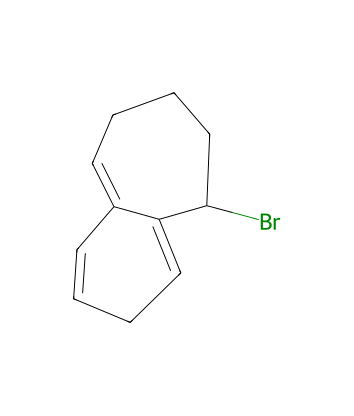 BrC1CCCC=C2C=CCC=C21